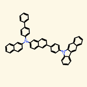 c1ccc(-c2ccc(N(c3ccc4ccccc4c3)c3ccc4cc(-c5ccc(-n6c7ccccc7c7cc8ccccc8cc76)cc5)ccc4c3)cc2)cc1